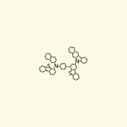 c1ccc2cc(N(c3ccc(-c4cc(-n5c6ccccc6c6cc7ccccc7cc65)cc5c4sc4ccccc45)cc3)c3cccc4c3sc3ccccc34)ccc2c1